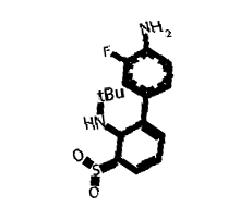 CC(C)(C)NC1C(c2ccc(N)c(F)c2)=CC=CC1=S(=O)=O